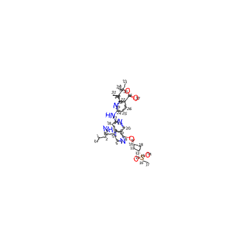 CCC[C@H](N)c1cnc(O[C@H]2C[C@@H](S(=O)(=O)CC)C2)c2cnc(Nc3ccc4c(n3)[C@@H](C)C(C)(C)OC4=O)cc12